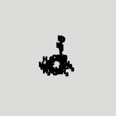 CC[C@H]1OC(=O)[C@@](C)(F)C(=O)[C@H](C)C(C)(C)[C@](C)(OC)C[C@@H](C)C(=O)[C@H](C)[C@H]2N(CCCCn3cnc(-c4cccnc4)c3)C(=O)O[C@]12C